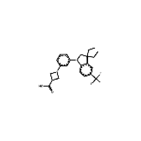 CCC1(CC)CN(c2cccc(N3CC(C(=O)O)C3)c2)c2ccc(C(F)(F)F)cc21